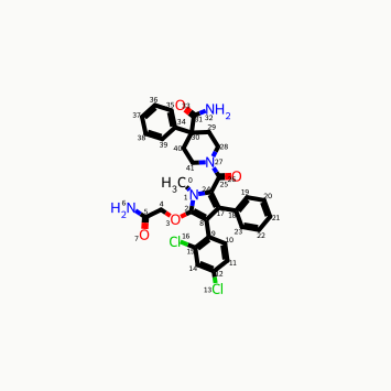 Cn1c(OCC(N)=O)c(-c2ccc(Cl)cc2Cl)c(-c2ccccc2)c1C(=O)N1CCC(C(N)=O)(c2ccccc2)CC1